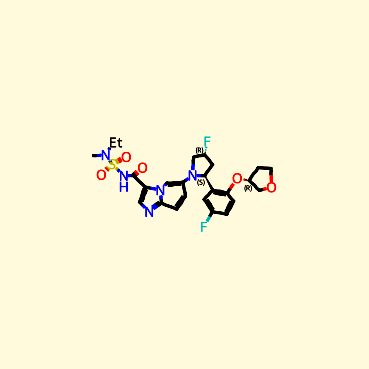 CCN(C)S(=O)(=O)NC(=O)c1cnc2ccc(N3C[C@H](F)C[C@H]3c3cc(F)ccc3O[C@@H]3CCOC3)cn12